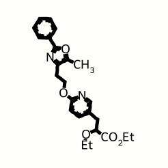 CCOC(=O)C(Cc1ccc(OCCc2nc(-c3ccccc3)oc2C)nc1)OCC